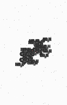 O=C(c1ccc(-c2ccc(C(=O)N([C@@H]3[C@@H](OCc4ccccc4)O[C@H](COS(=O)(=O)O)[C@@H](OS(=O)(=O)O)[C@@H]3OS(=O)(=O)O)[C@@H]3[C@@H](OCc4ccccc4)O[C@H](COS(=O)(=O)O)[C@@H](OS(=O)(=O)O)[C@@H]3OS(=O)(=O)O)cc2)cc1)N([C@@H]1[C@@H](OCc2ccccc2)O[C@H](COS(=O)(=O)O)[C@@H](OS(=O)(=O)O)[C@@H]1OS(=O)(=O)O)[C@@H]1[C@@H](OCc2ccccc2)O[C@H](COS(=O)(=O)O)[C@@H](OS(=O)(=O)O)[C@@H]1OS(=O)(=O)O